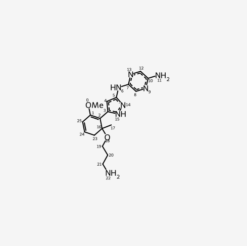 COC1=C(c2cc(Nc3cnc(N)cn3)n[nH]2)C(C)(OCCCN)CC=C1